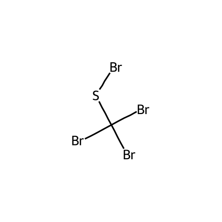 BrSC(Br)(Br)Br